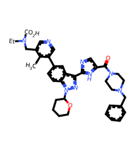 CCN(Cc1cncc(-c2ccc3c(c2)c(-c2ncc(C(=O)N4CCN(Cc5ccccc5)CC4)[nH]2)nn3C2CCCCO2)c1C)C(=O)O